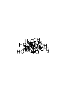 CC(C)(C)OC(=O)N[C@]1(C)C(O)[C@@H](CO)O[C@H]1n1ccc(=O)n(C(=O)OC(C)(C)C)c1=O